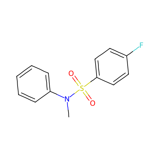 CN(c1ccccc1)S(=O)(=O)c1ccc(F)cc1